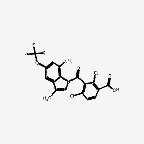 Cc1cn(C(=O)c2c(Cl)ccc(C(=O)O)c2Cl)c2c(C)cc(OC(F)(F)F)cc12